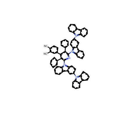 N#Cc1ccc(-c2c(-c3ccccc3)c(-n3c4ccccc4c4cc(-n5c6ccccc6c6ccccc65)ccc43)nc(-n3c4ccccc4c4cc(-n5c6ccccc6c6ccccc65)ccc43)c2-c2ccccc2)cc1C#N